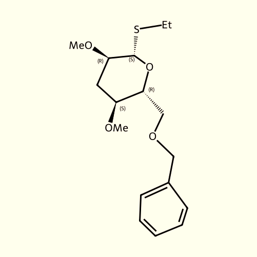 CCS[C@@H]1O[C@H](COCc2ccccc2)[C@@H](OC)C[C@H]1OC